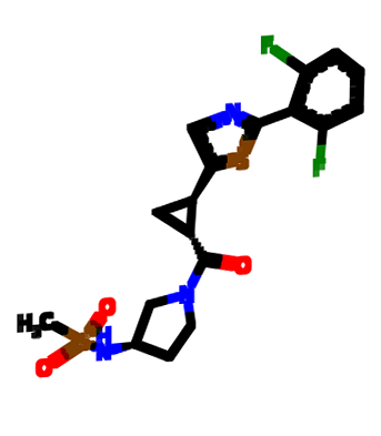 CS(=O)(=O)N[C@@H]1CCN(C(=O)[C@@H]2C[C@H]2c2cnc(-c3c(F)cccc3F)s2)C1